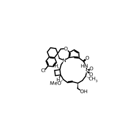 CO[C@H]1/C=C/[C@H](CO)C[C@@H](C)S(=O)(=O)NC(=O)c2ccc3c(c2)N(C[C@@H]2CC[C@H]21)C[C@@]1(CCCc2cc(Cl)ccc21)CO3